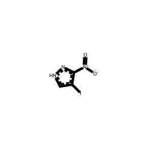 O=[N+]([O-])c1n[nH]cc1I